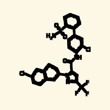 NS(=O)(=O)c1ccccc1-c1ccc(NC(=O)c2cc(C(F)(F)F)nn2-c2ccc3cc(Cl)ccc3c2)c(Cl)c1